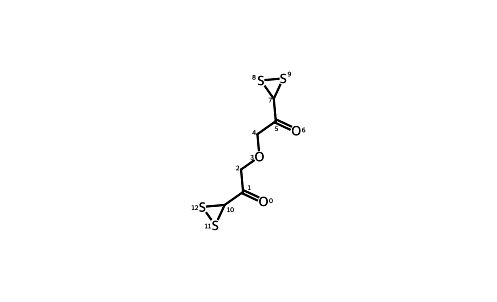 O=C(COCC(=O)C1SS1)C1SS1